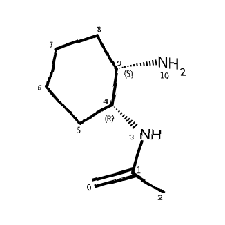 C=C(C)N[C@@H]1CCCC[C@@H]1N